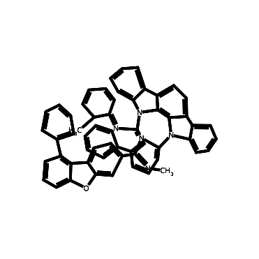 C\N=C(/N=C(\N=C1/C=CC=CC1C)n1c2ccccc2c2ccc3c4ccccc4n(-c4cccc(-c5ccccc5)c4)c3c21)c1ccc2c(c1)oc1cccc(-c3ccccc3)c12